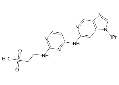 CC(C)n1cnc2cnc(Nc3ccnc(NCCS(C)(=O)=O)n3)cc21